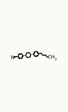 CCCCCc1ccc([C@H]2CC[C@H](c3ccc(C#N)cc3)CC2)cc1